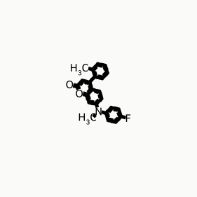 Cc1ccccc1-c1cc(=O)oc2cc(N(C)c3ccc(F)cc3)ccc12